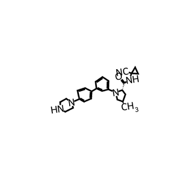 C[C@H]1C[C@@H](C(=O)NC2(C#N)CC2)N(c2cccc(-c3ccc(N4CCNCC4)cc3)c2)C1